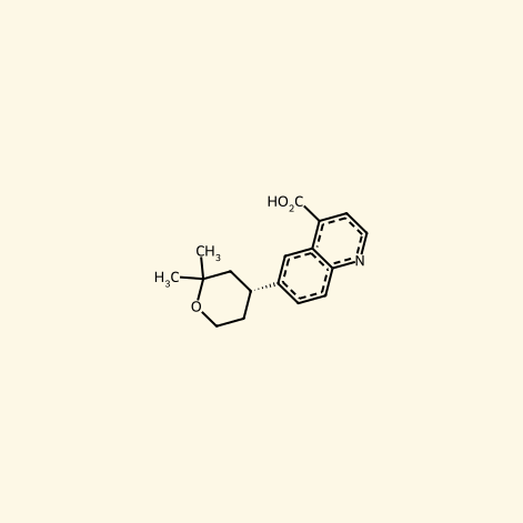 CC1(C)C[C@H](c2ccc3nccc(C(=O)O)c3c2)CCO1